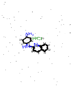 Cl.NC1CCC(Nc2ccc3ccccc3n2)CC1